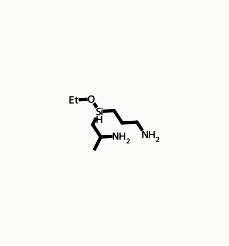 CCO[SiH](CCCN)CC(C)N